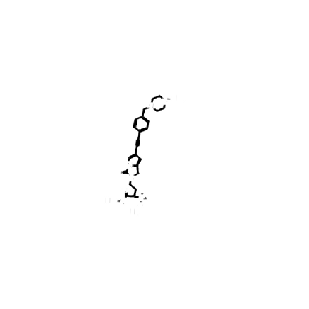 CN1CCN(Cc2ccc(C#Cc3cc4n(c3)C(=O)N(CC[C@](C)(C(=O)NO)S(C)(=O)=O)C4)cc2)CC1